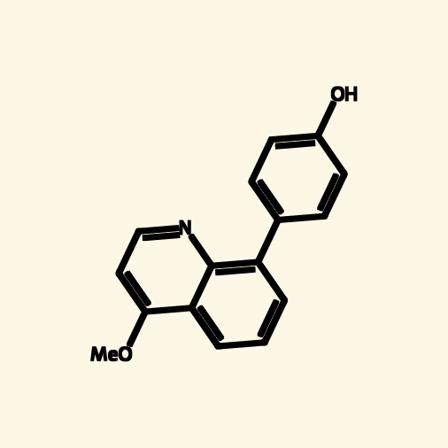 COc1ccnc2c(-c3ccc(O)cc3)cccc12